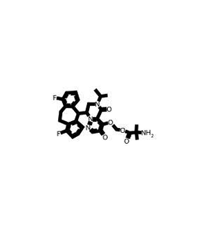 CC(C)N1CC(C2c3cccc(F)c3CCc3c(F)cccc32)n2ncc(=O)c(OCOC(=O)C(C)(C)N)c2C1=O